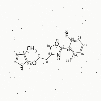 Cc1ccsc1OCCC1COC(c2c(F)cccc2F)=N1